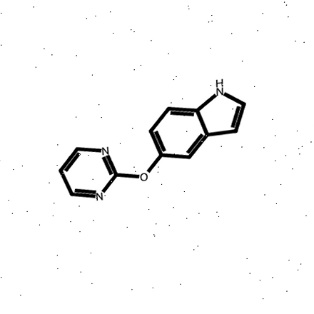 c1cnc(Oc2ccc3[nH]ccc3c2)nc1